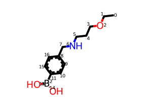 CCOCCCNCc1ccc(B(O)O)cc1